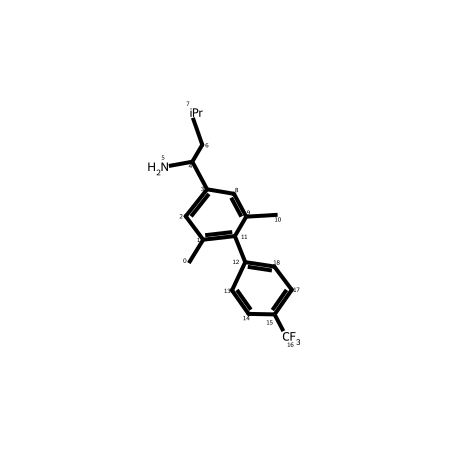 Cc1cc(C(N)CC(C)C)cc(C)c1-c1ccc(C(F)(F)F)cc1